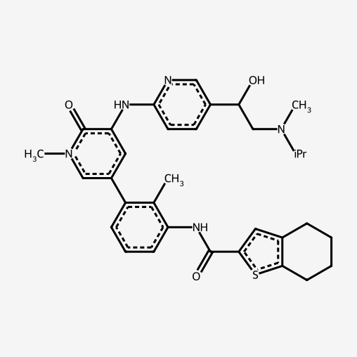 Cc1c(NC(=O)c2cc3c(s2)CCCC3)cccc1-c1cc(Nc2ccc(C(O)CN(C)C(C)C)cn2)c(=O)n(C)c1